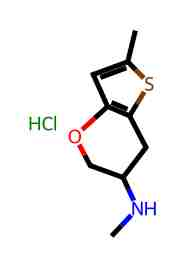 CNC1COc2cc(C)sc2C1.Cl